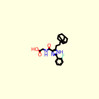 O=C(O)CNC(=O)c1nc(-c2ccccc2F)[nH]c1CCC12CC3CC(CC(C3)C1)C2